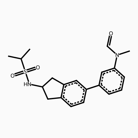 CC(C)S(=O)(=O)NC1Cc2ccc(-c3cccc(N(C)C=O)c3)cc2C1